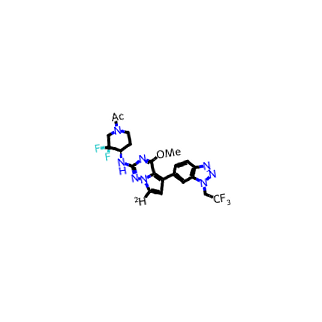 [2H]c1cc(-c2ccc3nnn(CC(F)(F)F)c3c2)c2c(OC)nc(N[C@@H]3CCN(C(C)=O)CC3(F)F)nn12